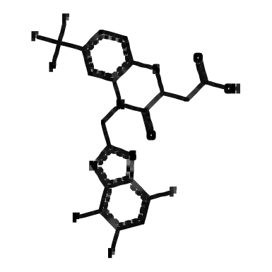 O=C(O)CC1Sc2ccc(C(F)(F)F)cc2N(Cc2nc3c(F)c(F)cc(F)c3s2)C1=O